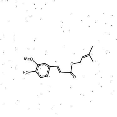 COc1cc(C=CC(=O)OCC=C(C)C)ccc1O